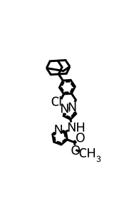 COC(=O)c1cccnc1Nc1cnn(Cc2ccc(C34CC5CC(CC(C5)C3)C4)cc2Cl)c1